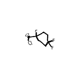 O=C(Cl)C1(F)CCC(F)(F)CC1